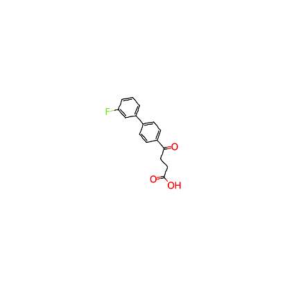 O=C(O)CCC(=O)c1ccc(-c2cccc(F)c2)cc1